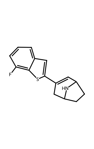 Fc1cccc2cc(C3=CC4CCC(C3)N4)sc12